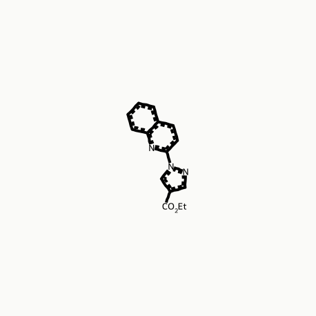 CCOC(=O)c1cnn(-c2ccc3ccccc3n2)c1